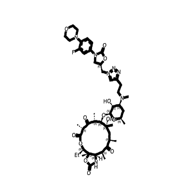 CC[C@H]1OC(=O)[C@H](C)C(=O)[C@H](C)[C@@H](O[C@@H]2O[C@H](C)C[C@H](N(C)CCc3cn(C[C@H]4CN(c5ccc(N6CCOCC6)c(F)c5)C(=O)O4)nn3)[C@H]2O)[C@](C)(OC)C[C@@H](C)C(=O)[C@@H](C)[C@H]2NC(=O)O[C@@]21C